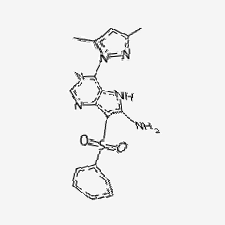 Cc1cc(C)n(-c2ncnc3c(S(=O)(=O)c4ccccc4)c(N)[nH]c23)n1